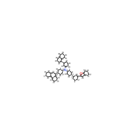 c1cc(-c2ccc(N(c3ccc(-c4cc5ccccc5c5ccccc45)cc3)c3cccc(-c4cccc5ccccc45)c3)cc2)cc(-c2cc3ccccc3o2)c1